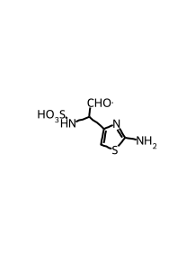 Nc1nc(C([C]=O)NS(=O)(=O)O)cs1